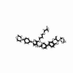 CC(Cn1cnnn1)Oc1cc(-c2cnc(Nc3cn(C4CCC(N5CCOCC5)CC4)nc3OCCCOCC(F)F)nc2)ccc1Cl